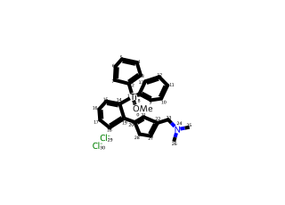 C[O][Ti+2]([c]1ccccc1)([c]1ccccc1)[c]1ccccc1C1=CC(CN(C)C)=CC1.[Cl-].[Cl-]